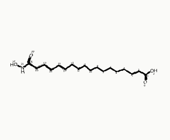 O=C(O)CCCCCCCCCCCCCCCCC(=O)NO